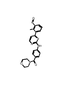 Cc1c(N=O)cccc1-c1ccnc(Nc2ccc(C(=O)N3CCOCC3)cc2)n1